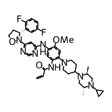 C=CC(=O)Nc1cc(Nc2cc(N3OCC[C@@H]3c3cc(F)ccc3F)ncn2)c(OC)cc1N1CCC(N2C[C@@H](C)N(C3CC3)C[C@@H]2C)CC1